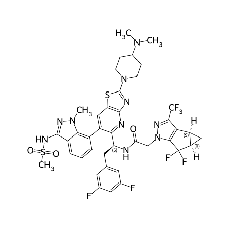 CN(C)C1CCN(c2nc3nc([C@H](Cc4cc(F)cc(F)c4)NC(=O)Cn4nc(C(F)(F)F)c5c4C(F)(F)[C@@H]4C[C@H]54)c(-c4cccc5c(NS(C)(=O)=O)nn(C)c45)cc3s2)CC1